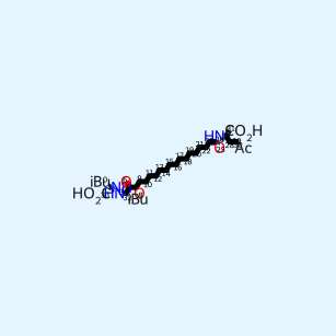 CC[C@H](C)C(NNC(C(=O)C(=O)CCCCCCCCCCCCCCCC(=O)NC(CCC(C)=O)C(=O)O)[C@@H](C)CC)C(=O)O